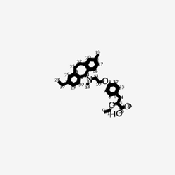 CCOC(Cc1ccc(OCCN(C)C2c3ccc(C)cc3CCc3cc(CC)ccc32)cc1)C(=O)O